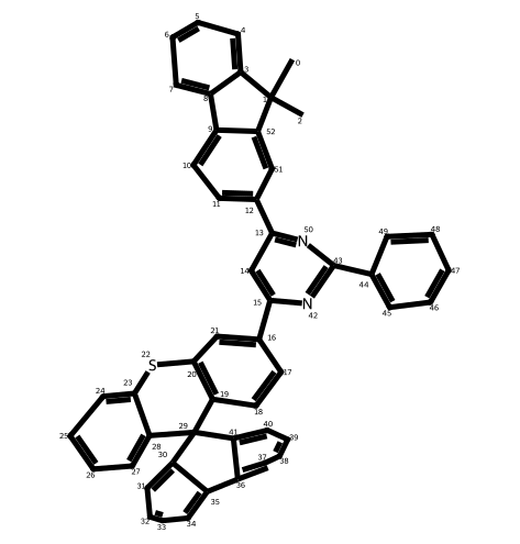 CC1(C)c2ccccc2-c2ccc(-c3cc(-c4ccc5c(c4)Sc4ccccc4C54c5ccccc5-c5ccccc54)nc(-c4ccccc4)n3)cc21